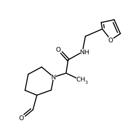 CC(C(=O)NCc1ccco1)N1CCCC(C=O)C1